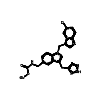 CC(C)(C)OC(=O)NCc1ccc2c(c1)c(Cc1nn[nH]n1)cn2Cc1csc2ccc(Cl)cc12